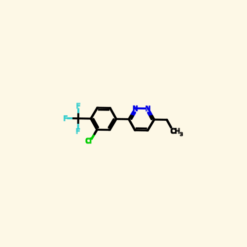 CCc1ccc(-c2ccc(C(F)(F)F)c(Cl)c2)nn1